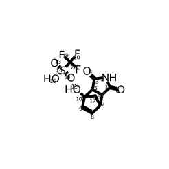 O=C1NC(=O)C2C1C1C=CC2(O)C1.O=S(=O)(O)C(F)(F)F